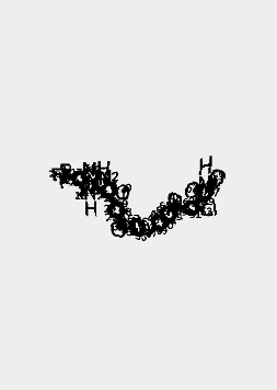 COc1cc2nc(C)nc(NC(C)c3cc(N)cc(C(F)(F)F)c3)c2cc1C1=CCC(C(=O)N2CCN(CC3CCC4(CC3)CCN(C(=O)c3ccc(Cl)c(N5CCC(=O)NC5=O)c3)CC4)CC2)CC1